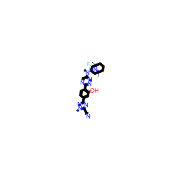 CN(c1cnc(-c2ccc(-c3nc(C#N)n(C)n3)cc2O)nn1)[C@H]1C[C@]2(C)CCC[C@@](C)(N2)[C@H]1F